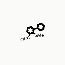 CSc1c(N=C=O)cccc1-c1ccccc1